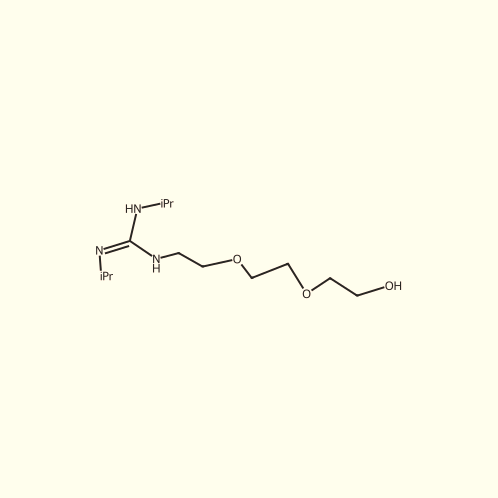 CC(C)/N=C(\NCCOCCOCCO)NC(C)C